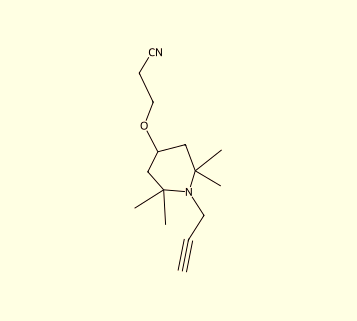 C#CCN1C(C)(C)CC(OCCC#N)CC1(C)C